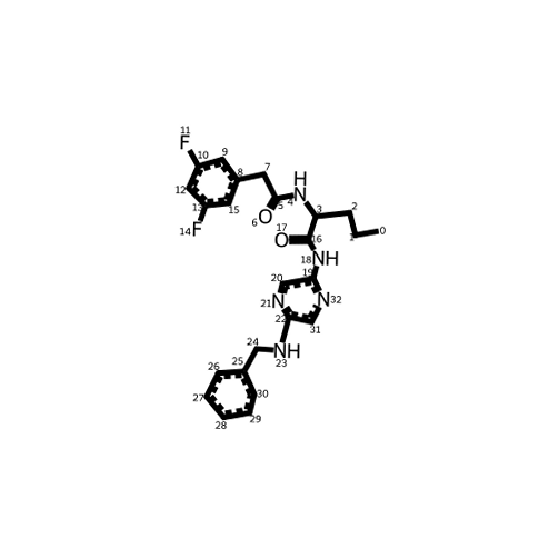 CCCC(NC(=O)Cc1cc(F)cc(F)c1)C(=O)Nc1cnc(NCc2ccccc2)cn1